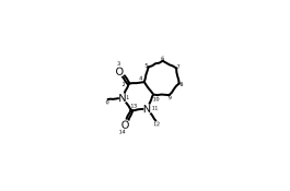 CN1C(=O)C2CCCCCC2N(C)C1=O